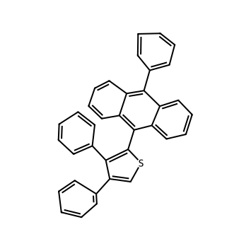 c1ccc(-c2csc(-c3c4ccccc4c(-c4ccccc4)c4ccccc34)c2-c2ccccc2)cc1